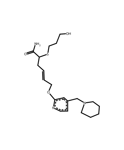 NC(=O)C(CC=CCOc1cc(CN2CCCCC2)ccn1)SCCCO